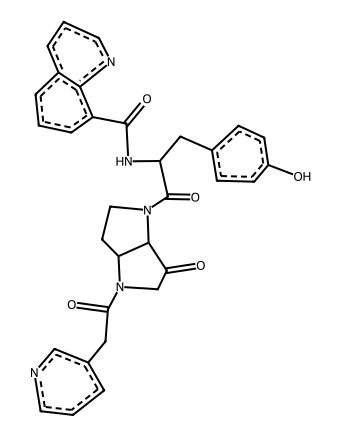 O=C(NC(Cc1ccc(O)cc1)C(=O)N1CCC2C1C(=O)CN2C(=O)Cc1cccnc1)c1cccc2cccnc12